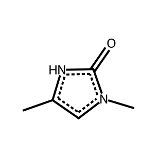 Cc1cn(C)c(=O)[nH]1